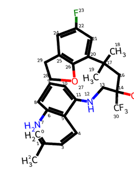 C=C(C)/C=C\c1c(N)cccc1NCC(O)(CC(C)(C)c1cc(F)cc2c1OCC2)C(F)(F)F